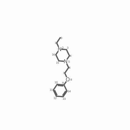 CCN1CCN(CCOc2ccccc2)CC1